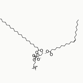 CCCCCCCC/C=C\CCCCCCCCCC(=O)OC[C@H](COP(=O)([O-])OCC[N+](C)(C)C)OC(=O)CCCCCCCCCCCCCCCCCCCC